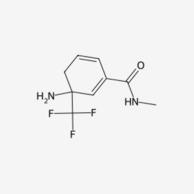 CNC(=O)C1=CC(N)(C(F)(F)F)CC=C1